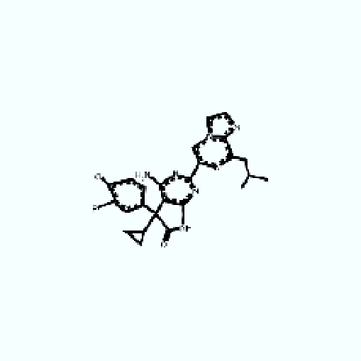 CC(C)Cc1nc(-c2nc(N)c3c(n2)NC(=O)C3(c2ccc(Cl)c(F)c2)C2CC2)cn2ccnc12